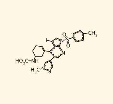 Cc1ccc(S(=O)(=O)n2cc(I)c3c(C4=CCCC(NC(=O)O)C4)c(-c4cnn(C)c4)cnc32)cc1